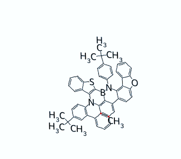 Cc1cc2c3c(c1)N(c1ccc(C(C)(C)C)cc1-c1ccccc1)c1c(sc4ccccc14)B3N(c1ccc(C(C)(C)C)cc1)c1c-2ccc2oc3ccccc3c12